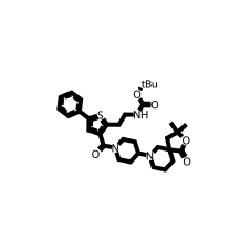 CC(C)(C)OC(=O)NCCc1sc(-c2ccccc2)cc1C(=O)N1CCC(N2CCCC3(C2)CC(C)(C)OC3=O)CC1